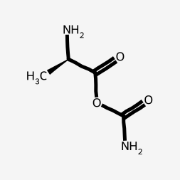 C[C@@H](N)C(=O)OC(N)=O